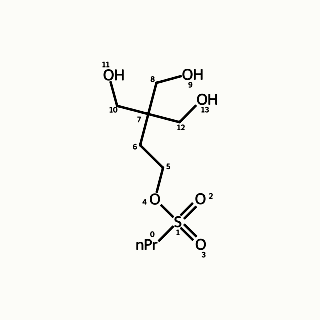 CCCS(=O)(=O)OCCC(CO)(CO)CO